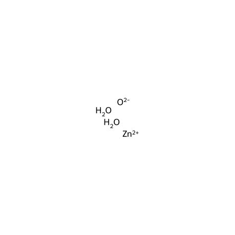 O.O.[O-2].[Zn+2]